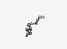 Cc1ccc(SCCCN(C)CCOCCO)cc1COC1(c2cnccc2-c2ccccc2OC2CC2)CC1